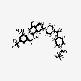 Cc1nnc(N[C@H](C)c2cc(N)cc(C(F)(F)F)c2)c2cc(N3CCN(C(=O)C4CCN(C(=O)OC(C)(C)C)CC4)CC3)ncc12